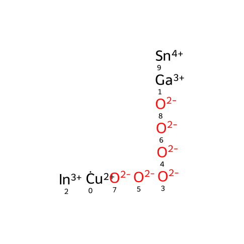 [Cu+2].[Ga+3].[In+3].[O-2].[O-2].[O-2].[O-2].[O-2].[O-2].[Sn+4]